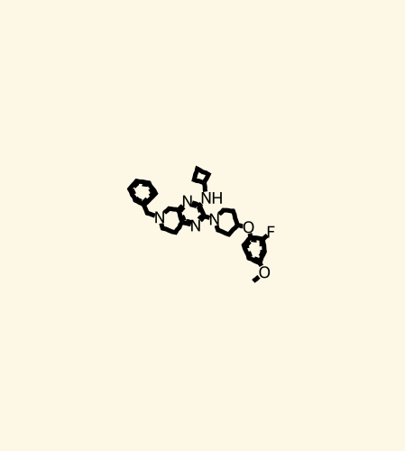 COc1ccc(OC2CCN(c3nc4c(nc3NC3CCC3)CN(Cc3ccccc3)CC4)CC2)c(F)c1